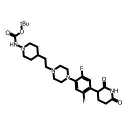 CC(C)(C)OC(=O)NN1CCC(CCN2CCN(c3cc(F)c(C4CCC(=O)NC4=O)cc3F)CC2)CC1